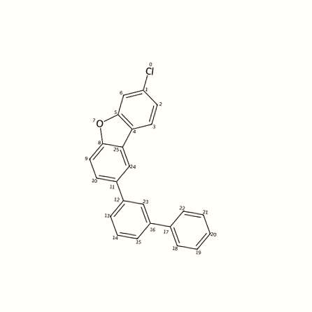 Clc1ccc2c(c1)oc1ccc(-c3cccc(-c4ccccc4)c3)cc12